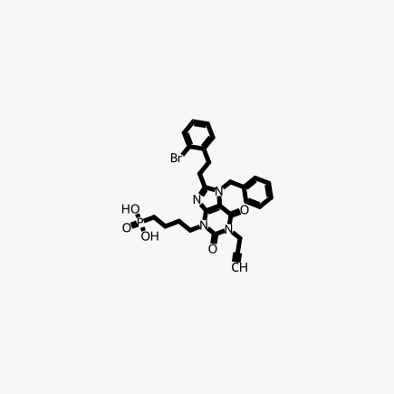 C#CCn1c(=O)c2c(nc(CCc3ccccc3Br)n2Cc2ccccc2)n(CCCCP(=O)(O)O)c1=O